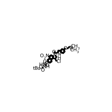 CN(C)CCOc1ccc2[nH]c(C(=O)N3CC(CCl)c4c3cc([N+](=O)[O-])c3cc(S(=O)(=O)NNC(=O)OC(C)(C)C)ccc43)cc2c1